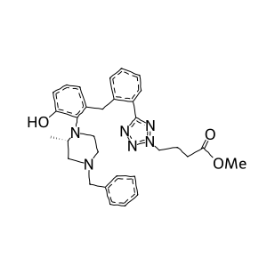 COC(=O)CCCn1nnc(-c2ccccc2Cc2cccc(O)c2N2CCN(Cc3ccccc3)C[C@@H]2C)n1